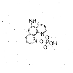 Nc1cc2cccnc2c2ncccc12.[O-][I+3]([O-])([O-])O